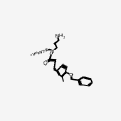 CCCCCN(CCCN)C(=O)CCc1ccc(OCc2ccccc2)c(C)c1